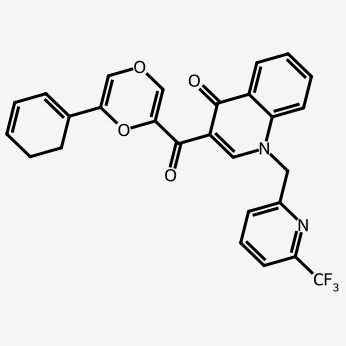 O=C(C1=COC=C(C2=CC=CCC2)O1)c1cn(Cc2cccc(C(F)(F)F)n2)c2ccccc2c1=O